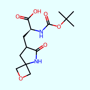 CC(C)(C)OC(=O)N[C@@H](CC1CC2(COC2)NC1=O)C(=O)O